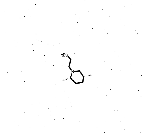 C[C@@H]1CC[C@H](C)N(CCC(C)(C)C)C1